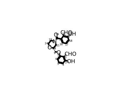 O=Cc1c(O)cccc1OC[C@H]1CN(C(=O)c2cccc(O)c2C=O)CCO1